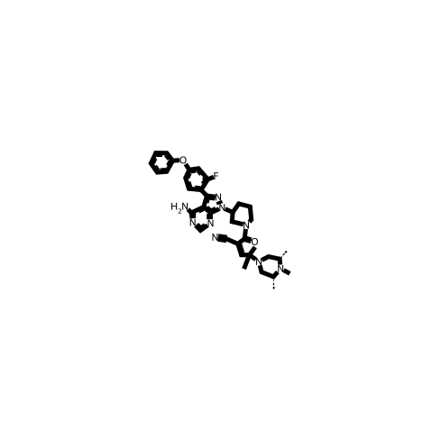 C[C@@H]1CN(C(C)(C)/C=C(/C#N)C(=O)N2CCCC(n3nc(-c4ccc(Oc5ccccc5)cc4F)c4c(N)ncnc43)C2)C[C@H](C)N1C